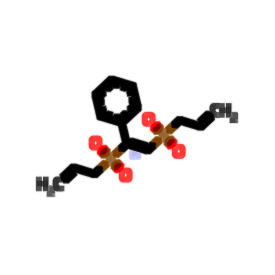 C=CCS(=O)(=O)/C=C(\c1ccccc1)S(=O)(=O)CC=C